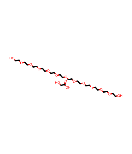 O=C(O)CO.OCCOCCOCCOCCOCCOCCOCCOCCOCCOCCOCCOCCO